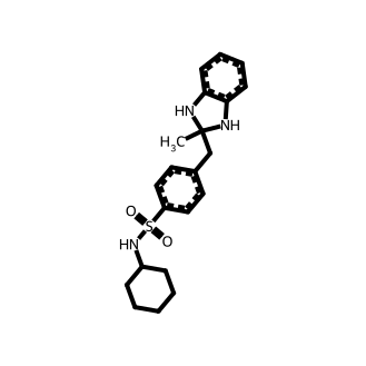 CC1(Cc2ccc(S(=O)(=O)NC3CCCCC3)cc2)Nc2ccccc2N1